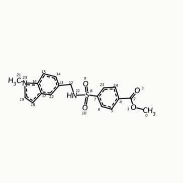 COC(=O)c1ccc(S(=O)(=O)NCc2ccc3c(ccn3C)c2)cc1